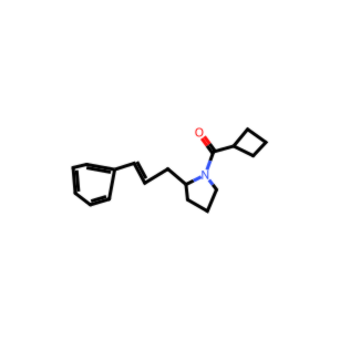 O=C(C1CCC1)N1CCCC1CC=Cc1ccccc1